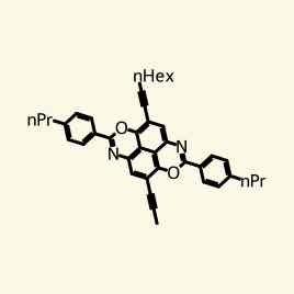 CC#Cc1cc2c3c(c(C#CCCCCCC)cc4c3c1OC(c1ccc(CCC)cc1)=N4)OC(c1ccc(CCC)cc1)=N2